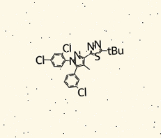 Cc1c(-c2nnc(C(C)(C)C)s2)nn(-c2ccc(Cl)cc2Cl)c1-c1cccc(Cl)c1